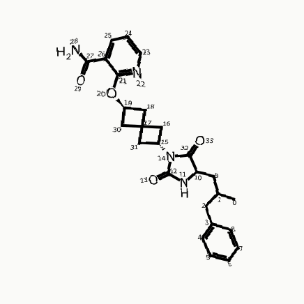 CC(Cc1ccccc1)CC1NC(=O)N([C@H]2CC3(C[C@H](Oc4ncccc4C(N)=O)C3)C2)C1=O